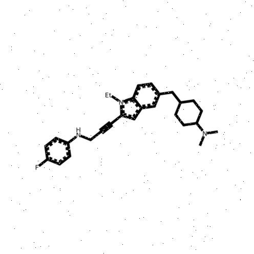 CCn1c(C#CCNc2ccc(F)cc2)cc2cc(CC3CCC(N(C)C)CC3)ccc21